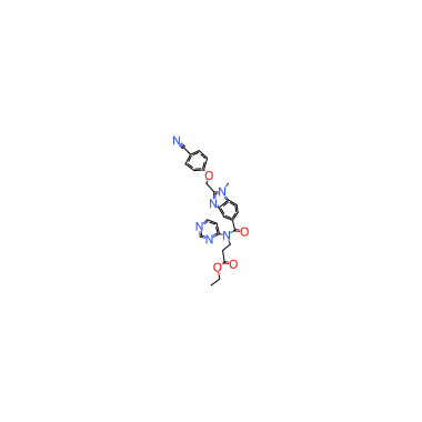 CCOC(=O)CCN(C(=O)c1ccc2c(c1)nc(COc1ccc(C#N)cc1)n2C)c1ccncn1